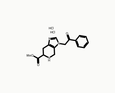 COC(=O)C1Cc2ncn(CC(=O)c3ccccc3)c2CN1.Cl.Cl